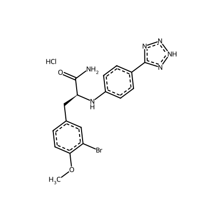 COc1ccc(C[C@H](Nc2ccc(-c3nn[nH]n3)cc2)C(N)=O)cc1Br.Cl